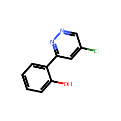 Oc1ccccc1-c1cc(Cl)cnn1